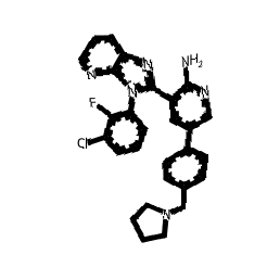 Nc1ncc(-c2ccc(CN3CCCC3)cc2)cc1-c1nc2cccnc2n1-c1cccc(Cl)c1F